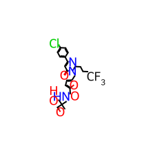 O=C(NCC1(CO)COC1)c1ccc(Cn2c(CCCC(F)(F)F)nc(-c3ccc(Cl)cc3)cc2=O)o1